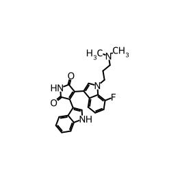 CN(C)CCCn1cc(C2=C(c3c[nH]c4ccccc34)C(=O)NC2=O)c2cccc(F)c21